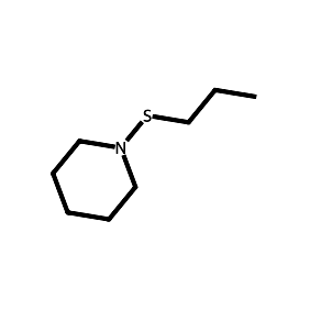 CCCSN1CCCCC1